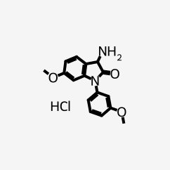 COc1cccc(N2C(=O)C(N)c3ccc(OC)cc32)c1.Cl